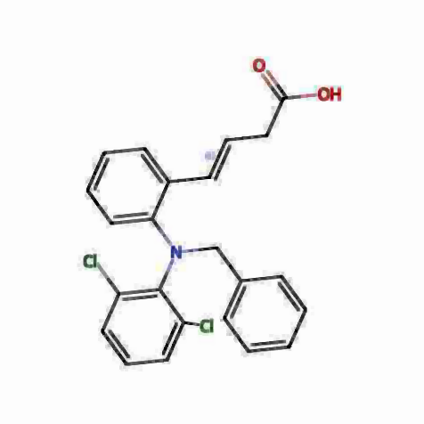 O=C(O)C/C=C/c1ccccc1N(Cc1ccccc1)c1c(Cl)cccc1Cl